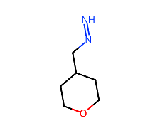 N=NCC1CCOCC1